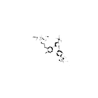 CCOP(=O)(CCCc1cc(-c2cc(C(F)(F)F)nn2-c2ccc(S(N)(=O)=O)cc2)ccc1C)OCC